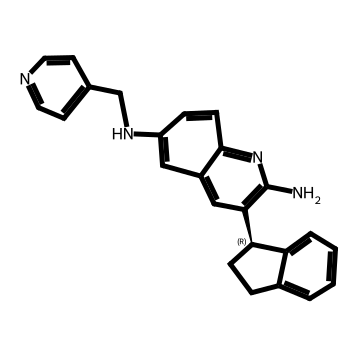 Nc1nc2ccc(NCc3ccncc3)cc2cc1[C@@H]1CCc2ccccc21